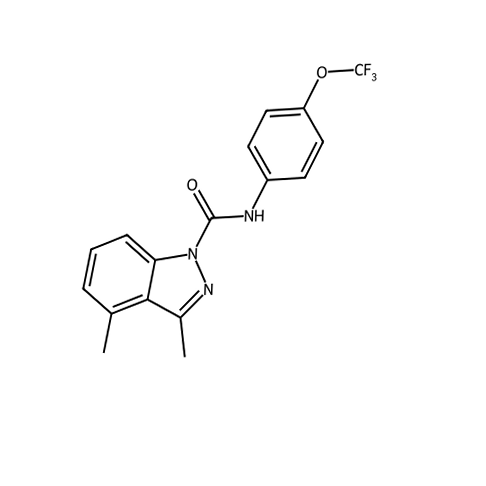 Cc1cccc2c1c(C)nn2C(=O)Nc1ccc(OC(F)(F)F)cc1